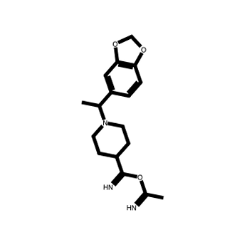 CC(=N)OC(=N)C1CCN(C(C)c2ccc3c(c2)OCO3)CC1